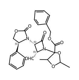 CC1OC(C)C(C(=O)OCc2ccccc2)(N2C(=O)[C@@H](N3C(=O)OC[C@@H]3c3ccccc3)[C@H]2C=O)O1